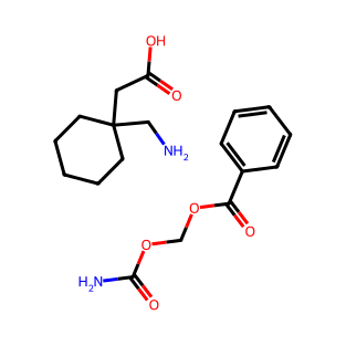 NC(=O)OCOC(=O)c1ccccc1.NCC1(CC(=O)O)CCCCC1